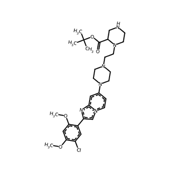 COc1cc(OC)c(-c2cn3ccc(N4CCN(CCN5CCNCC5C(=O)OC(C)(C)C)CC4)cc3n2)cc1Cl